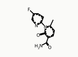 Cc1ccc(C(N)=O)c(=O)n1-c1ccc(F)cn1